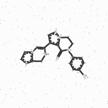 O=C1c2c(C3=Cn4ccnc4CN3)cnn2CCN1c1ccc(C(F)(F)F)cc1